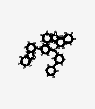 c1ccc(-c2cccc(N(c3ccc(-c4cccc5c4oc4ccccc45)cc3)c3cc4ccccc4c4oc5ccccc5c34)c2)cc1